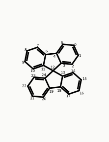 [c]1ccc2c(c1)-c1ccccc1C21c2ccccc2-c2ccccc21